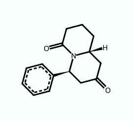 O=C1C[C@H]2CCCC(=O)N2[C@H](c2ccccc2)C1